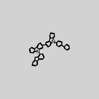 c1ccc(-c2ccc(-n3c4ccccc4c4cc(-c5ccc6c7ccccc7n(-c7cccc8c7Cc7ccccc7-8)c6c5)ccc43)cc2)cc1